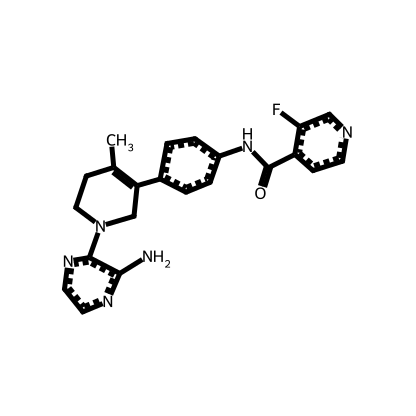 CC1=C(c2ccc(NC(=O)c3ccncc3F)cc2)CN(c2nccnc2N)CC1